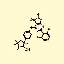 CN1C(O)[C@@](C)(c2ccc(Nc3nc(-c4c(F)cccc4F)nc4c3C(=O)NC4)cc2)CC1(C)C